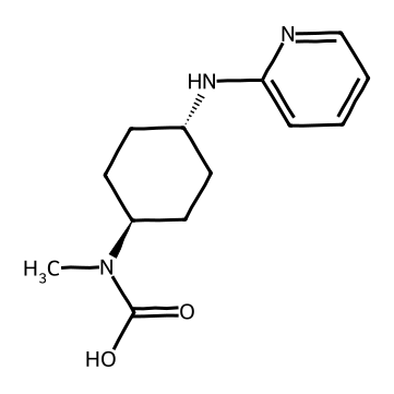 CN(C(=O)O)[C@H]1CC[C@H](Nc2ccccn2)CC1